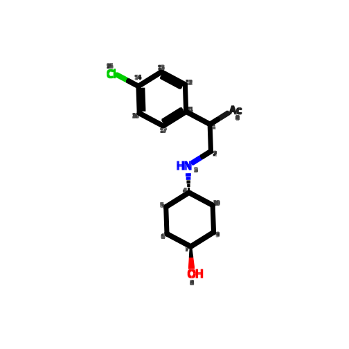 CC(=O)C(CN[C@H]1CC[C@H](O)CC1)c1ccc(Cl)cc1